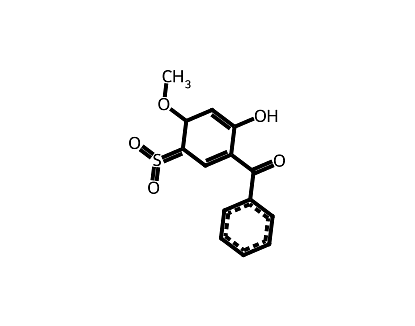 COC1C=C(O)C(C(=O)c2ccccc2)=CC1=S(=O)=O